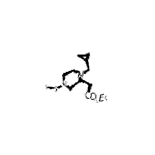 CCOC(=O)CC1CN(SI)CCN1CC1CC1